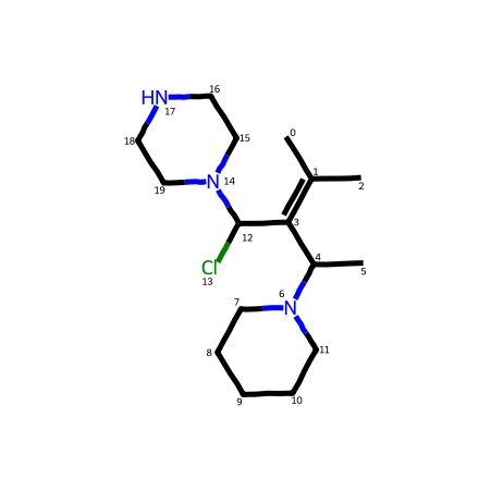 CC(C)=C(C(C)N1CCCCC1)C(Cl)N1CCNCC1